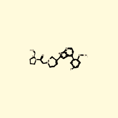 COc1ccc(F)cc1-c1ccnc2[nH]c(C3=CCCN(CC(=O)N4CCC[C@H]4CO)CC3)cc12